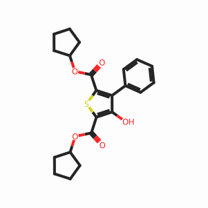 O=C(OC1CCCC1)c1sc(C(=O)OC2CCCC2)c(-c2ccccc2)c1O